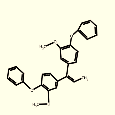 CC=C(c1ccc(Oc2ccccc2)c(OC)c1)c1ccc(Oc2ccccc2)c(OC)c1